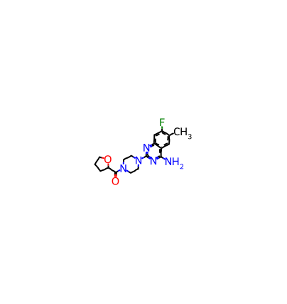 Cc1cc2c(N)nc(N3CCN(C(=O)C4CCCO4)CC3)nc2cc1F